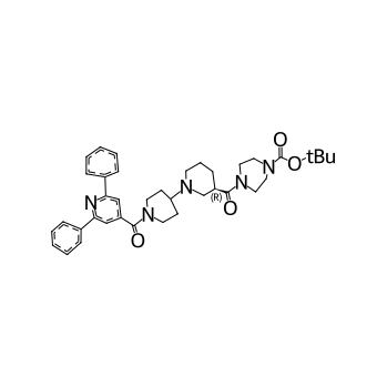 CC(C)(C)OC(=O)N1CCN(C(=O)[C@@H]2CCCN(C3CCN(C(=O)c4cc(-c5ccccc5)nc(-c5ccccc5)c4)CC3)C2)CC1